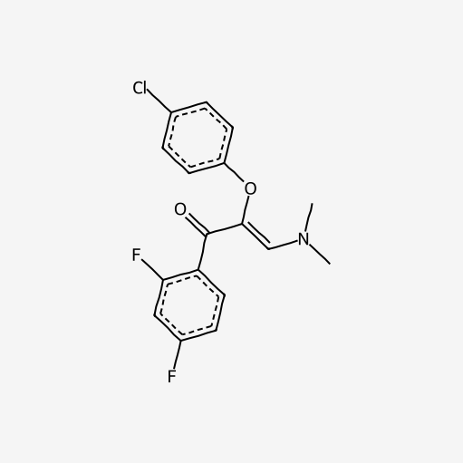 CN(C)C=C(Oc1ccc(Cl)cc1)C(=O)c1ccc(F)cc1F